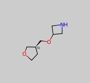 C1C[C@H](COC2CNC2)CO1